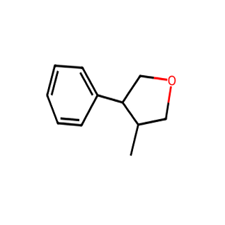 CC1COCC1c1ccccc1